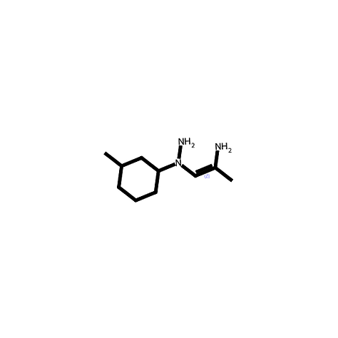 C/C(N)=C/N(N)C1CCCC(C)C1